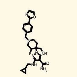 N#CCC1(n2cc(C(N)=O)c(NCC3CC3)n2)CCN(Cc2ccc(-c3ncco3)cc2)CC1F